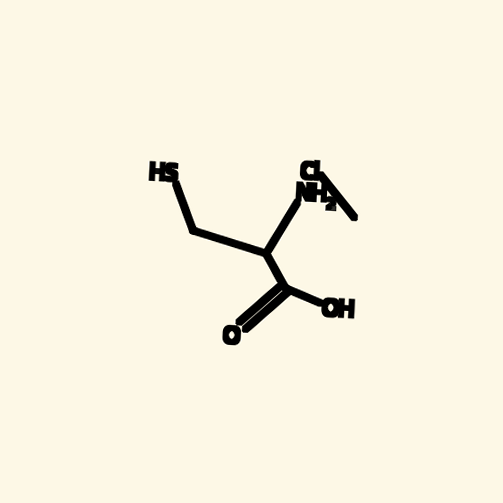 CCl.NC(CS)C(=O)O